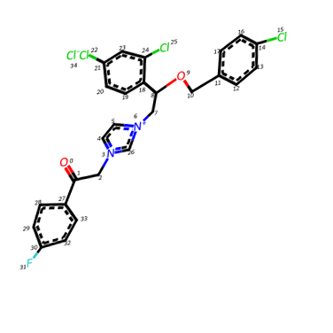 O=C(Cn1cc[n+](CC(OCc2ccc(Cl)cc2)c2ccc(Cl)cc2Cl)c1)c1ccc(F)cc1.[Cl-]